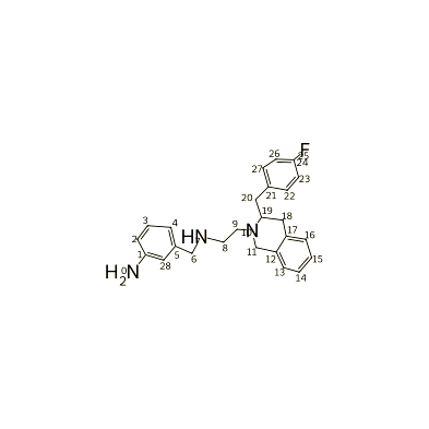 Nc1cccc(CNCCN2Cc3ccccc3CC2Cc2ccc(F)cc2)c1